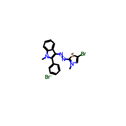 Cn1c(-c2ccccc2)c(N=Nc2sc(Br)c[n+]2C)c2ccccc21.[Br-]